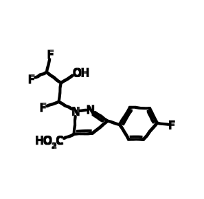 O=C(O)c1cc(-c2ccc(F)cc2)nn1C(F)C(O)C(F)F